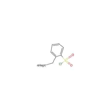 CCCCCCCCc1ccccc1S(=O)(=O)Cl